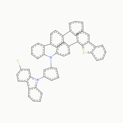 Fc1ccc2c3ccccc3n(-c3cccc(N(c4ccc(-c5cccc6c5sc5ccccc56)cc4)c4ccccc4-c4ccc(-c5ccccc5)cc4)c3)c2c1